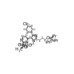 COCn1c(CCCO[Si](C(C)C)(C(C)C)C(C)C)nc(-c2ccc(Cl)cc2)c1-c1ccnc(S(C)(=O)=O)n1